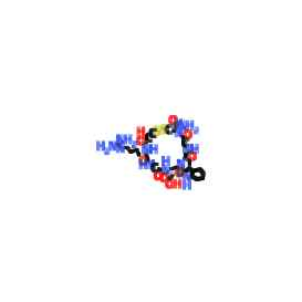 NC(=O)[C@@H]1CSSCCC(O)N[C@@H](CCCCN=C(N)N)C(=O)NCC(=O)N[C@@H](CC(=O)O)C(=O)N[C@H](Cc2c[nH]c3ccccc23)C(=O)NCC(=O)N1